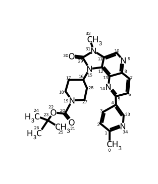 Cc1ccc(-c2ccc3ncc4c(c3n2)n(C2CCN(C(=O)OC(C)(C)C)CC2)c(=O)n4C)cn1